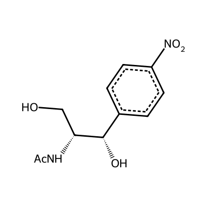 CC(=O)N[C@H](CO)[C@@H](O)c1ccc([N+](=O)[O-])cc1